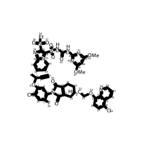 C#CC(C)Oc1cc(N2C(=O)C3=C(CCCC3)C2=O)c(F)cc1Cl.CCS(=O)(=O)c1nc2ccccn2c1S(=O)(=O)NC(=O)Nc1nc(OC)cc(OC)n1.O=C(O)COc1ccc(Cl)c2cccnc12